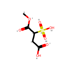 COC(=O)C(CC(=O)O)S(=O)(=O)O